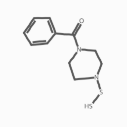 O=C(c1ccccc1)N1CCN(SS)CC1